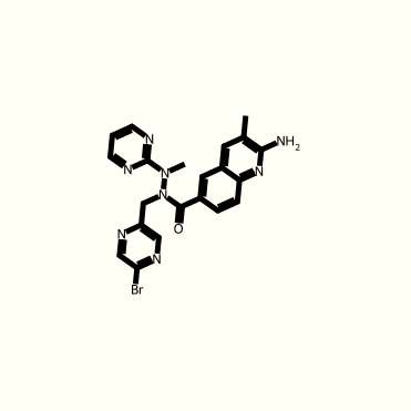 Cc1cc2cc(C(=O)N(Cc3cnc(Br)cn3)N(C)c3ncccn3)ccc2nc1N